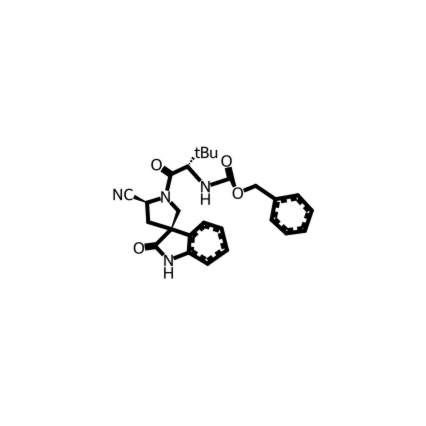 CC(C)(C)[C@H](NC(=O)OCc1ccccc1)C(=O)N1C[C@]2(C[C@H]1C#N)C(=O)Nc1ccccc12